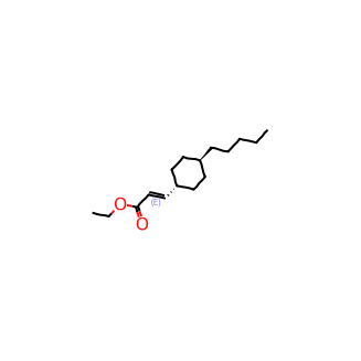 CCCCC[C@H]1CC[C@H](/C=C/C(=O)OCC)CC1